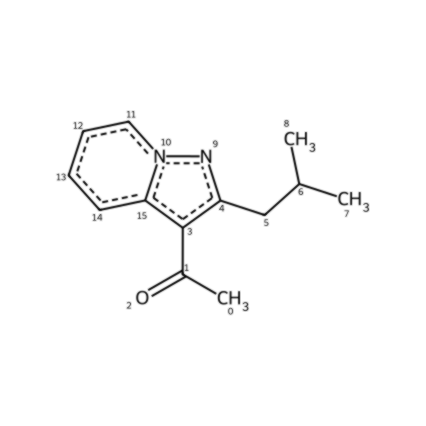 CC(=O)c1c(CC(C)C)nn2ccccc12